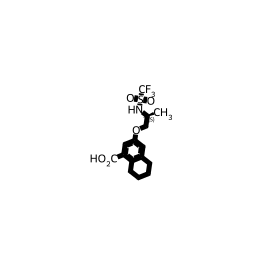 C[C@@H](COc1cc2c(c(C(=O)O)c1)CCCC2)NS(=O)(=O)C(F)(F)F